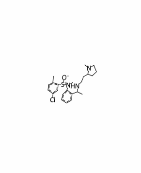 Cc1ccc(Cl)cc1[S+]([O-])N(C)c1ccccc1C(C)NCCC1CCCN1C